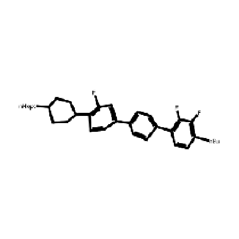 CCCCCCCC1CCC(c2ccc(-c3ccc(-c4ccc(CCCC)c(F)c4F)cc3)cc2F)CC1